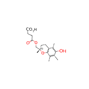 Cc1c(C)c2c(c(C)c1O)CC[C@@](C)(COC(=O)CCC(=O)O)O2